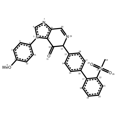 COc1ccc(-n2cnc3c2C(=O)C(c2ccc(-c4ccccc4S(C)(=O)=O)cc2)N=C3)cc1